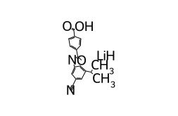 CC(C)c1cc(C#N)cc2nc(-c3ccc(C(=O)O)cc3)oc12.[LiH]